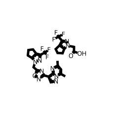 Cc1cc(C)n2ncc(-c3noc(Cn4nc(C(F)(F)F)c5c4CCC5)n3)c2n1.O=C(O)Cn1nc(C(F)(F)F)c2c1CCC2